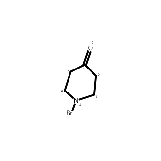 O=C1CCN(Br)CC1